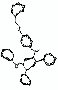 C1=C(Nc2ccc(/C=N/Cc3ccccc3)cc2)C(c2ccccc2)=CC(c2ccccc2)C1Nc1ccccc1